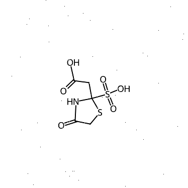 O=C(O)CC1(S(=O)(=O)O)NC(=O)CS1